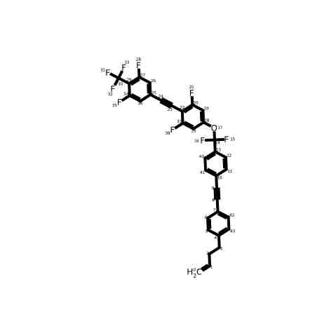 C=CCCc1ccc(C#Cc2ccc(C(F)(F)Oc3cc(F)c(C#Cc4cc(F)c(C(F)(F)F)c(F)c4)c(F)c3)cc2)cc1